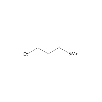 CCCC[CH]SC